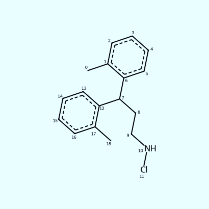 Cc1ccccc1C(CCNCl)c1ccccc1C